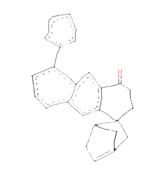 O=C1CCC2(CC3=CCC2C3)c2cc3cccc(-c4ccccc4)c3cc21